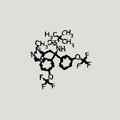 Cn1ncnc1CC(N[S@+]([O-])C(C)(C)C)(c1cccc(OC(F)(F)F)c1)c1cccc(OC(F)(F)F)c1